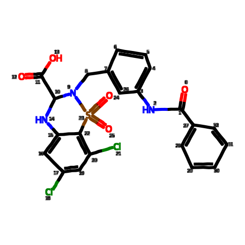 O=C(Nc1cccc(CN2C(C(=O)O)Nc3cc(Cl)cc(Cl)c3S2(=O)=O)c1)c1ccccc1